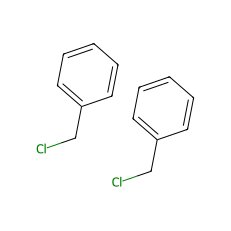 ClCc1ccccc1.ClCc1ccccc1